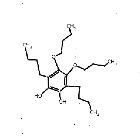 CCCCOc1c(CCCC)c(O)c(O)c(CCCC)c1OCCCC